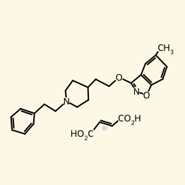 Cc1ccc2onc(OCCC3CCN(CCc4ccccc4)CC3)c2c1.O=C(O)/C=C/C(=O)O